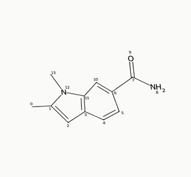 Cc1cc2ccc(C(N)=O)cc2n1C